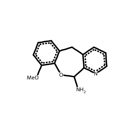 COc1cccc2c1OC(N)c1ncccc1C2